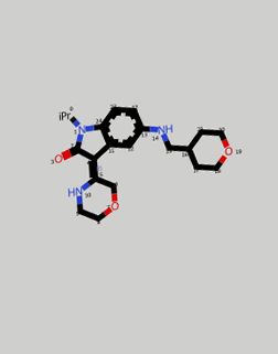 CC(C)N1C(=O)/C(=C2/COCCN2)c2cc(NCC3CCOCC3)ccc21